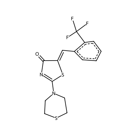 O=C1N=C(N2CCSCC2)SC1=Cc1ccccc1C(F)(F)F